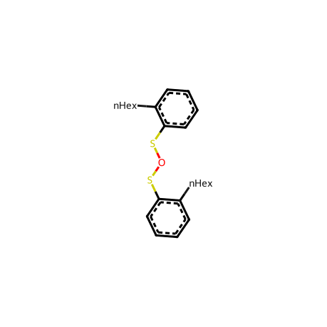 CCCCCCc1ccccc1SOSc1ccccc1CCCCCC